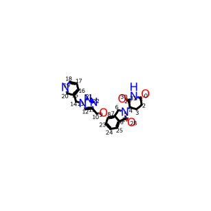 O=C1CCC(N2Cc3c(OCc4cn(Cc5cccnc5)nn4)cccc3C2=O)C(=O)N1